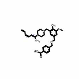 C=C/C=C\C=C(/N)N1CCN(Cc2cc(CNCc3ccc(C(=O)O)cc3)cc(OC)c2O)CC1